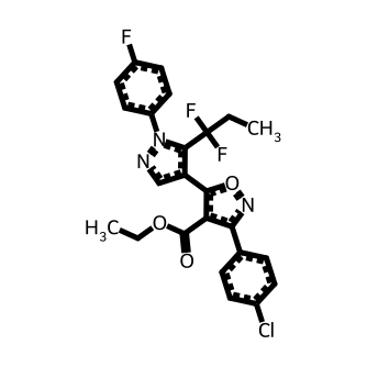 CCOC(=O)c1c(-c2ccc(Cl)cc2)noc1-c1cnn(-c2ccc(F)cc2)c1C(F)(F)CC